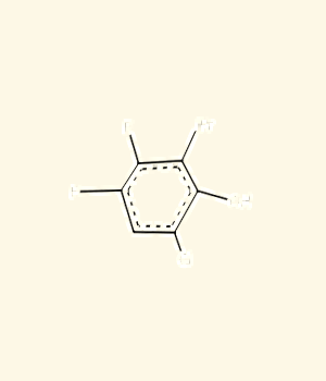 CC(C)c1c(O)c(Cl)cc(F)c1F